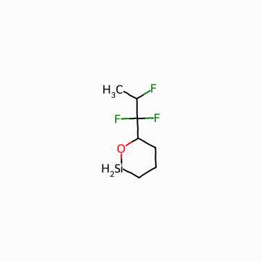 CC(F)C(F)(F)C1CCC[SiH2]O1